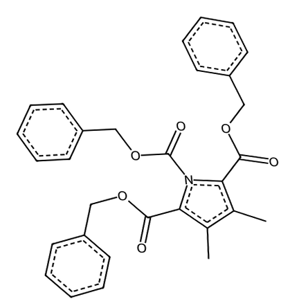 Cc1c(C)c(C(=O)OCc2ccccc2)n(C(=O)OCc2ccccc2)c1C(=O)OCc1ccccc1